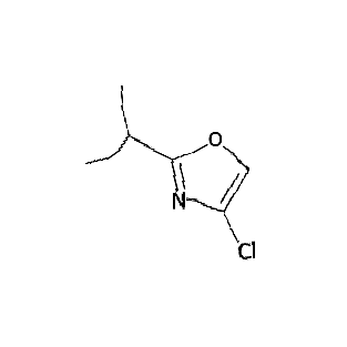 CC(C)c1nc(Cl)co1